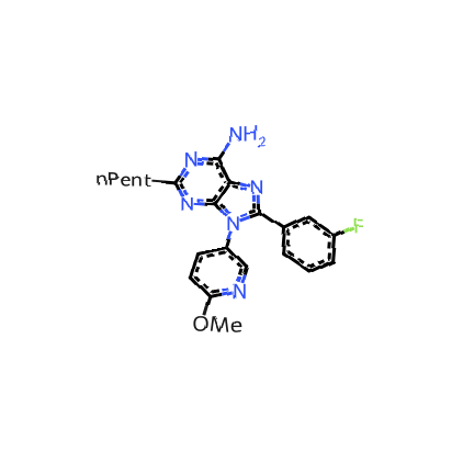 CCCCCc1nc(N)c2nc(-c3cccc(F)c3)n(-c3ccc(OC)nc3)c2n1